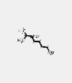 Br.CC(C)CCCC[CH2][Mg]